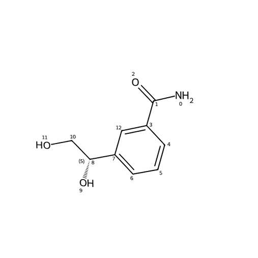 NC(=O)c1cccc([C@H](O)CO)c1